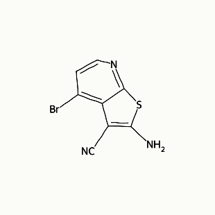 N#Cc1c(N)sc2nccc(Br)c12